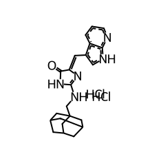 Cl.Cl.O=C1NC(NCC23CC4CC(CC(C4)C2)C3)=NC1=Cc1c[nH]c2ncccc12